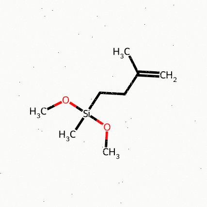 C=C(C)CC[Si](C)(OC)OC